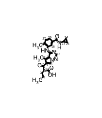 CCCN(C(=O)O)C(=O)c1cn2ncnc(Nc3cc(C(=O)NC4CC4)ccc3C)c2c1C